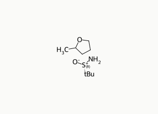 CC(C)(C)[S@@+](N)[O-].CC1CCCO1